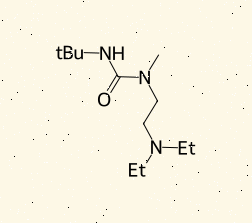 CCN(CC)CCN(C)C(=O)NC(C)(C)C